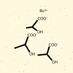 CC(O)C(=O)[O-].CC(O)C(=O)[O-].CC(O)C(=O)[O-].[Ru+3]